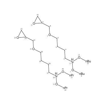 CCCCO[SiH](CCCCOCC1CO1)OCCCC.CCCO[SiH](CCCCOCC1CO1)OCCC